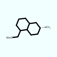 COCC1CCCC2C[C@H](C)CCC12